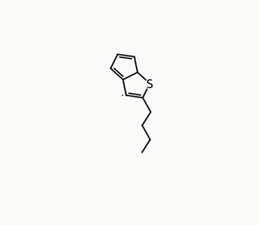 CCCCC1=[C]C2=CC=CC2S1